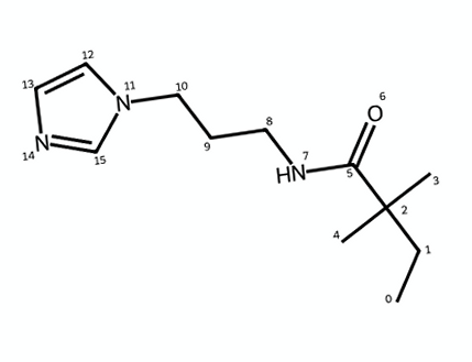 CCC(C)(C)C(=O)NCCCn1ccnc1